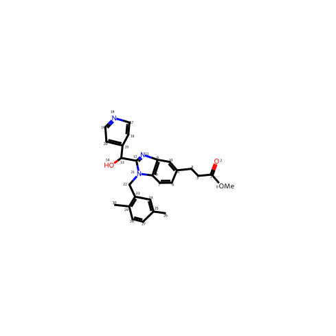 COC(=O)CCc1ccc2c(c1)nc(C(O)c1ccncc1)n2Cc1cc(C)ccc1C